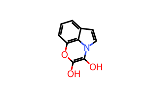 OC1=C(O)n2ccc3cccc(c32)O1